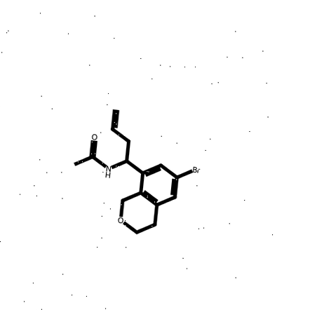 C=CCC(NC(C)=O)c1cc(Br)cc2c1COCC2